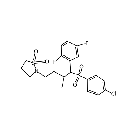 CC(CCN1CCCS1(=O)=O)C(c1cc(F)ccc1F)S(=O)(=O)c1ccc(Cl)cc1